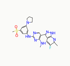 CNc1nc(Nc2cc(N3CCCC3)cc(S(C)(=O)=O)c2)ncc1-c1n[nH]c2nc(C)c(F)cc12